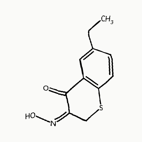 CCc1ccc2c(c1)C(=O)C(=NO)CS2